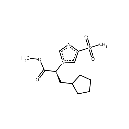 COC(=O)[C@H](CC1CCCC1)n1cnc(S(C)(=O)=O)c1